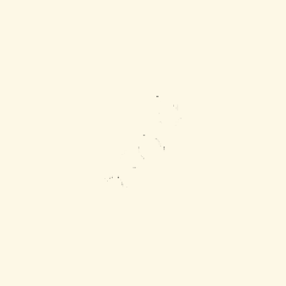 O=C(Oc1ccc([N+](=O)[O-])cc1)c1ccnc(F)c1